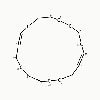 C1=CCCCCCCCC=CCCCCCCC1